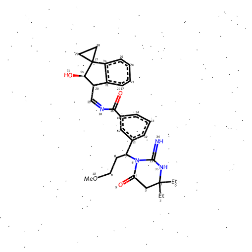 CCC1(CC)CC(=O)N(C(CCOC)c2cccc(C(=O)/N=C\C3c4ccccc4C4(CC4)[C@@H]3O)c2)C(=N)N1